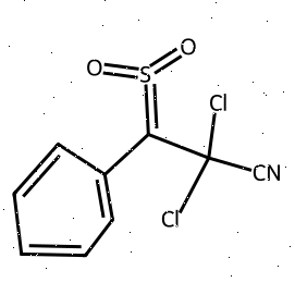 N#CC(Cl)(Cl)C(c1ccccc1)=S(=O)=O